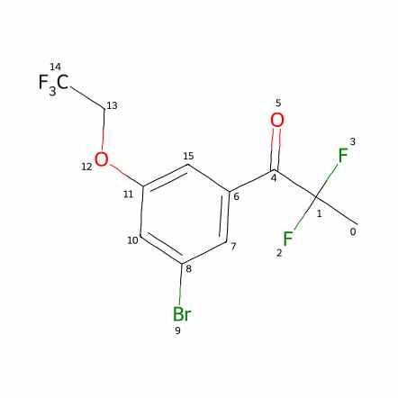 CC(F)(F)C(=O)c1cc(Br)cc(OCC(F)(F)F)c1